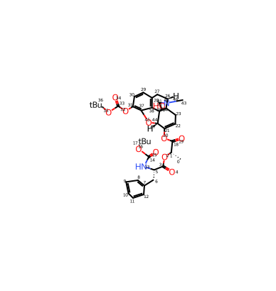 C[C@H](OC(=O)[C@H](Cc1ccccc1)NC(=O)OC(C)(C)C)C(=O)OC1=CC[C@@]2(O)[C@H]3Cc4ccc(OC(=O)OC(C)(C)C)c5c4[C@@]2(CCN3C)[C@H]1O5